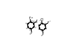 Fc1c[c]c(Cl)c(F)c1.Fc1c[c]c(F)c(F)c1